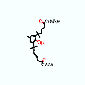 COC(=O)CCCC(C)(C)c1cc(C)cc(C(C)(C)CCCC(=O)OC)c1O